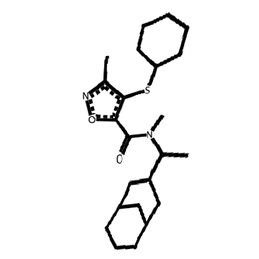 Cc1noc(C(=O)N(C)C(C)C2CC3CCCC(C3)C2)c1SC1CCCCC1